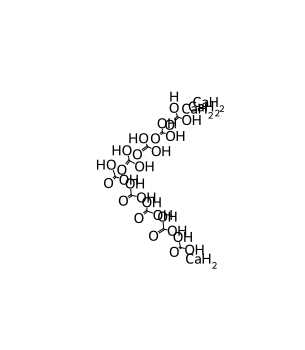 O=C(O)O.O=C(O)O.O=C(O)O.O=C(O)O.O=C(O)O.O=C(O)O.O=C(O)O.O=C(O)O.O=C(O)O.[CaH2].[CaH2].[CaH2].[CaH2]